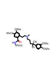 CCCCCNC(=O)c1cc(OC)c(OC)cc1CCN(C)CCCC(C#N)(c1ccc(OC)c(OC)c1)C(C)C